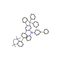 CC1(C)CCC(C)(C)c2c(-c3ccc(-c4cc5c(cc4N(c4ccccc4)c4ccc(-c6ccccc6)cc4)C(c4ccccc4)(c4ccccc4)c4ccccc4-5)cc3)cccc21